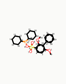 COc1ccc(S(=O)(=O)OP(C2CCCCC2)C2CCCCC2)c(OC)c1-c1ccccc1